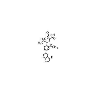 COc1nc(-c2ccc3cccc(F)c3c2)ccc1C(C=C1SC(=O)NC1=O)C(C)C